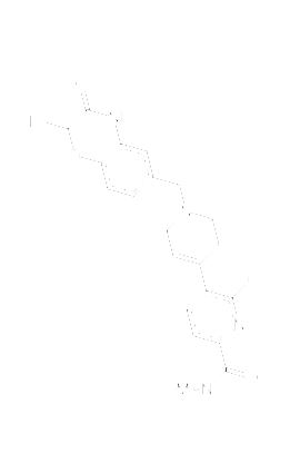 CCC1Oc2ccc(CN3CC=C(c4ccc(C(=O)NC)nc4Cl)CC3)cc2NC1=O